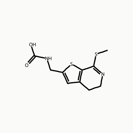 CSC1=NCCc2cc(CNC(=O)O)sc21